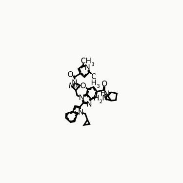 COc1cc(C(=O)N2CC3CCC2[C@@H]3N)cc2nc(-c3cc4ccccc4n3CC3CC3)n(CC3CN(C(=O)c4cc(C)nc(C)c4)C3)c12